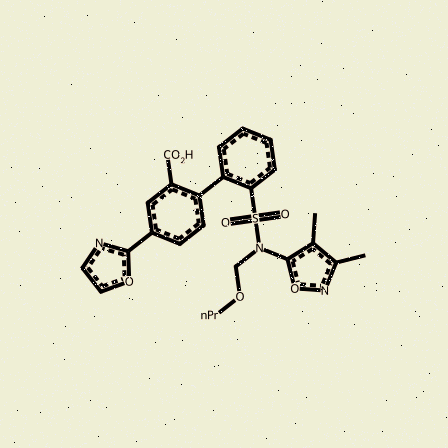 CCCOCN(c1onc(C)c1C)S(=O)(=O)c1ccccc1-c1ccc(-c2ncco2)cc1C(=O)O